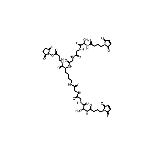 CC(NC(=O)CCCN1C(=O)C=CC1=O)C(=O)NCC(=O)NCC(=O)NCCCCC(NC(=O)CNC(=O)CNC(=O)C(C)NC(=O)CCCN1C(=O)C=CC1=O)C(=O)NCCC(=O)ON1C(=O)CCC1=O